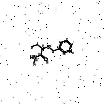 CCN(SCc1cccnc1)C(=O)NC